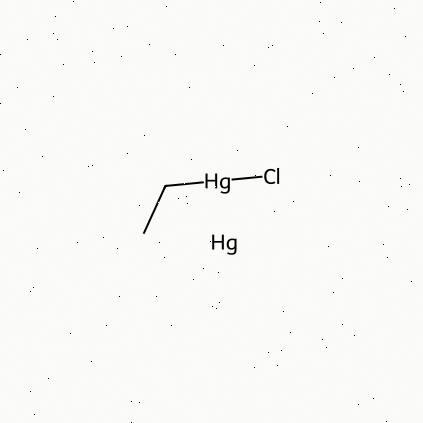 C[CH2][Hg][Cl].[Hg]